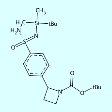 CC(C)(C)OC(=O)N1CCC1c1ccc([S@@](N)(=O)=N[Si](C)(C)C(C)(C)C)cc1